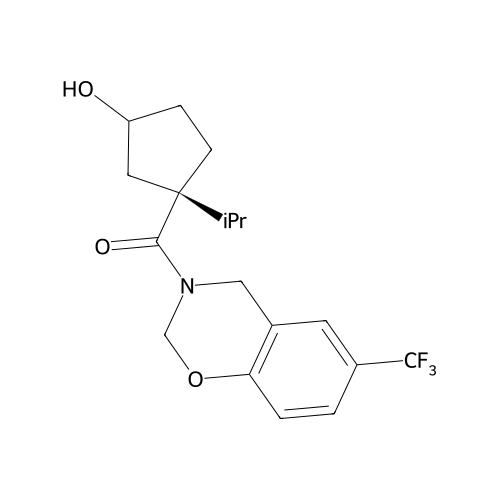 CC(C)[C@]1(C(=O)N2COc3ccc(C(F)(F)F)cc3C2)CCC(O)C1